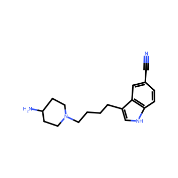 N#Cc1ccc2[nH]cc(CCCCN3CCC(N)CC3)c2c1